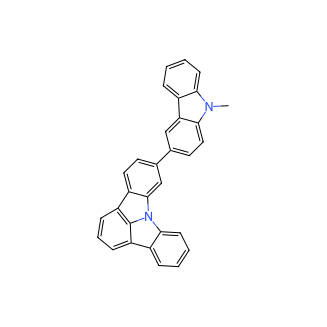 Cn1c2ccccc2c2cc(-c3ccc4c5cccc6c7ccccc7n(c4c3)c65)ccc21